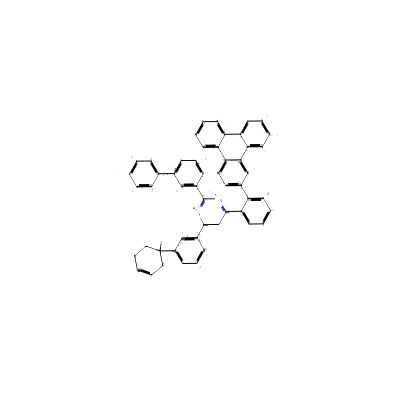 CC1(c2cccc(C3CC(c4ccccc4-c4ccc5c6ccccc6c6ccccc6c5c4)=NC(c4cccc(-c5ccccc5)c4)=N3)c2)CC=CCC1